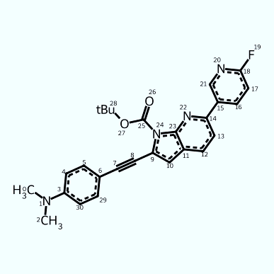 CN(C)c1ccc(C#Cc2cc3ccc(-c4ccc(F)nc4)nc3n2C(=O)OC(C)(C)C)cc1